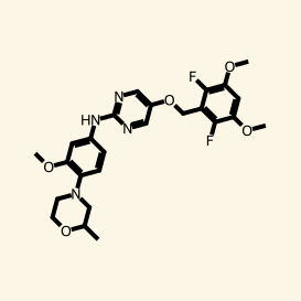 COc1cc(Nc2ncc(OCc3c(F)c(OC)cc(OC)c3F)cn2)ccc1N1CCOC(C)C1